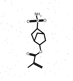 C=C(C)C(=O)OC1CC2CC1CC2S(N)(=O)=O